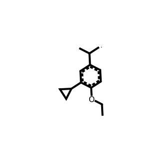 [CH2]C(C)c1ccc(OCC)c(C2CC2)c1